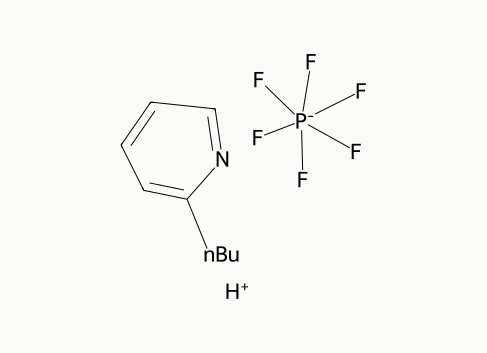 CCCCc1ccccn1.F[P-](F)(F)(F)(F)F.[H+]